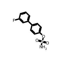 NS(=O)(=O)Oc1ccc(-c2cccc(F)c2)cc1